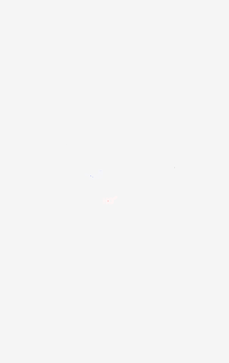 Cc1cc(I)c(O)c(/C=N/c2ccccc2)c1